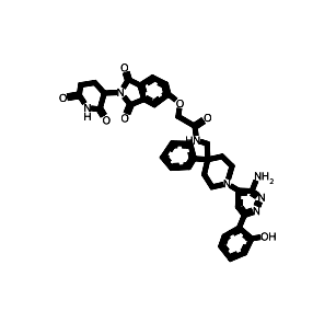 Nc1nnc(-c2ccccc2O)cc1N1CCC(CNC(=O)COc2ccc3c(c2)C(=O)N(C2CCC(=O)NC2=O)C3=O)(c2ccccc2)CC1